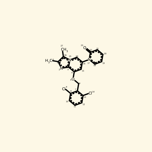 Cc1nc2c(OCc3c(Cl)cccc3Cl)cc(-n3ccccc3=O)cn2c1C